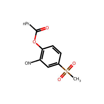 CCCC(=O)Oc1ccc(S(C)(=O)=O)cc1N=O